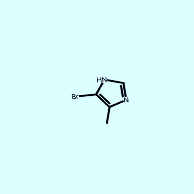 Cc1n[c][nH]c1Br